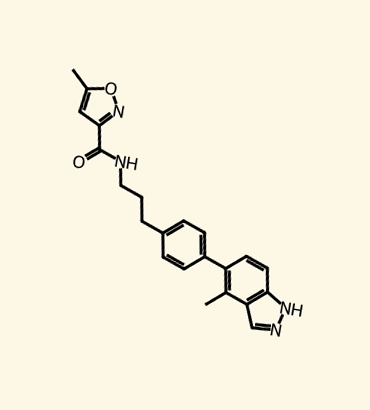 Cc1cc(C(=O)NCCCc2ccc(-c3ccc4[nH]ncc4c3C)cc2)no1